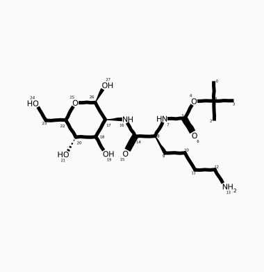 CC(C)(C)OC(=O)N[C@@H](CCCCN)C(=O)N[C@H]1C(O)[C@H](O)C(CO)O[C@H]1O